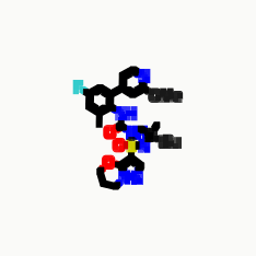 COc1cc(-c2cc(F)cc(C)c2NC(=O)NS(=O)(=N[Si](C)(C)C(C)(C)C)c2cnn3c2OCCC3)ccn1